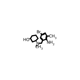 Cc1cc(Br)cc(CN(C)[C@@H]2CCC[C@H](O)C2)c1N